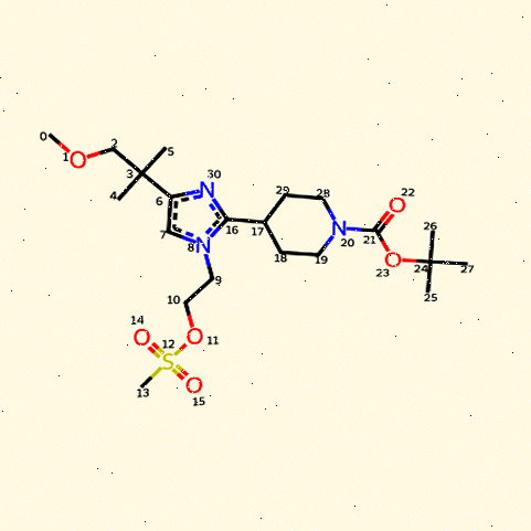 COCC(C)(C)c1cn(CCOS(C)(=O)=O)c(C2CCN(C(=O)OC(C)(C)C)CC2)n1